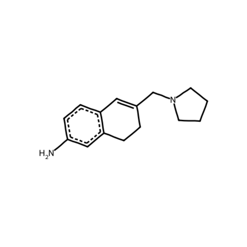 Nc1ccc2c(c1)CCC(CN1CCCC1)=C2